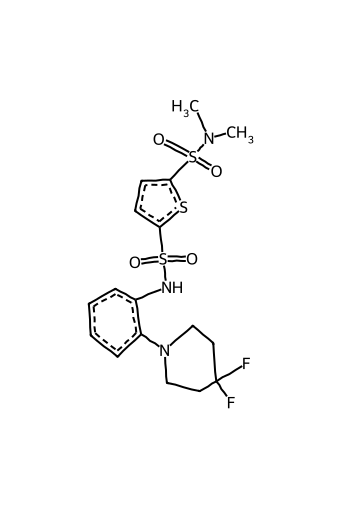 CN(C)S(=O)(=O)c1ccc(S(=O)(=O)Nc2ccccc2N2CCC(F)(F)CC2)s1